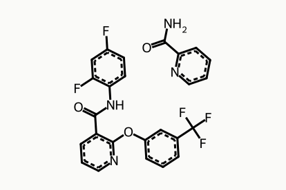 NC(=O)c1ccccn1.O=C(Nc1ccc(F)cc1F)c1cccnc1Oc1cccc(C(F)(F)F)c1